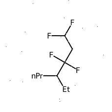 CCCC(CC)C(F)(F)CC(F)F